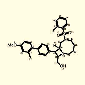 COc1ccc(-c2ccc(C3C(CO)N4CCCCN(S(=O)(=O)c5ccccc5C)C[C@@H]34)cc2)c(C)c1